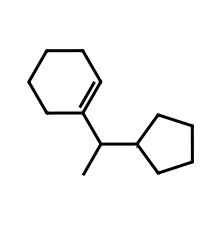 CC([C]1CCCC1)C1=CCCCC1